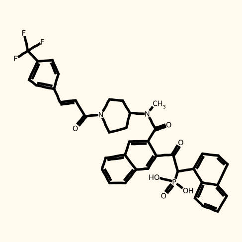 CN(C(=O)c1cc2ccccc2cc1C(=O)C(c1cccc2ccccc12)P(=O)(O)O)C1CCN(C(=O)C=Cc2ccc(C(F)(F)F)cc2)CC1